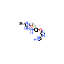 Cn1nc(C(C)(C)C)cc1NC(=O)Nc1ccc(Oc2cc(-c3cc[nH]n3)ncn2)cc1F